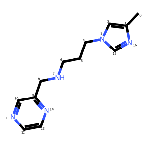 Cc1cn(CCCNCc2cnccn2)cn1